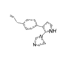 C=CCc1ccc(-c2cc[nH]c2-n2ccnc2)cc1